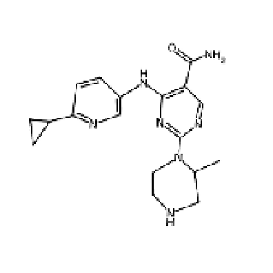 CC1CNCCN1c1ncc(C(N)=O)c(Nc2ccc(C3CC3)nc2)n1